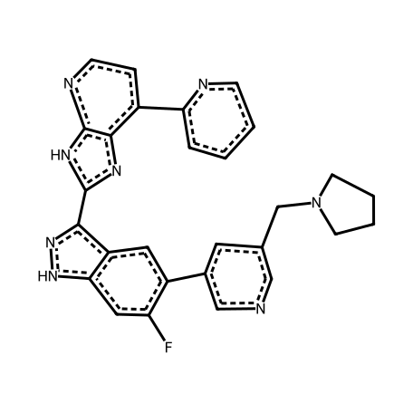 Fc1cc2[nH]nc(-c3nc4c(-c5ccccn5)ccnc4[nH]3)c2cc1-c1cncc(CN2CCCC2)c1